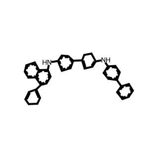 C1=CC(c2ccc(Nc3ccc(C4=CC=C(Nc5ccc(-c6ccccc6)cc5)CC4)cc3)c3ccccc23)=CCC1